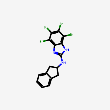 Brc1c(Br)c(Br)c2[nH]c(NC3Cc4ccccc4C3)nc2c1Br